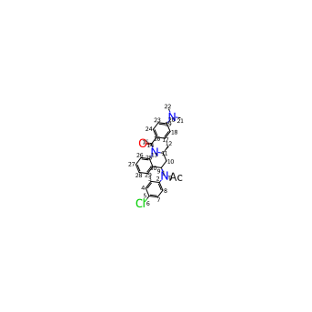 CC(=O)N(c1ccc(Cl)cc1)[C@@H]1C[C@H](C)N(C(=O)c2ccc(N(C)C)cc2)c2ccccc21